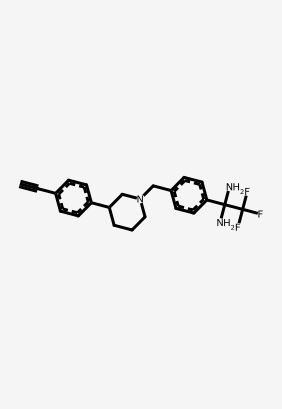 C#Cc1ccc(C2CCCN(Cc3ccc(C(N)(N)C(F)(F)F)cc3)C2)cc1